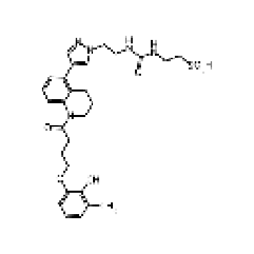 Cc1cccc(OCCCC(=O)N2CCCc3c(-c4cnn(CCNC(=O)NCCS(=O)(=O)O)c4)cccc32)c1C